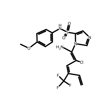 C=C/C(=C\C(Cl)=C(/N)n1cncc1S(=O)(=O)Nc1ccc(OC)cc1)C(F)(F)F